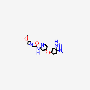 CNc1ccc(Oc2ccnc(NC(=O)CN3CC(OC)C3)c2)cc1N